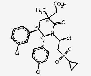 CCC(CS(=O)(=O)C1CC1)N1C(=O)[C@@](C)(CC(=O)O)C[C@H](c2cccc(Cl)c2)[C@H]1c1ccc(Cl)cc1